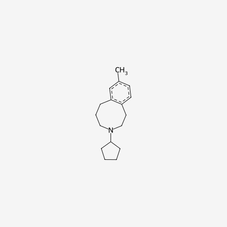 Cc1ccc2c(c1)CCCN(C1CCCC1)CC2